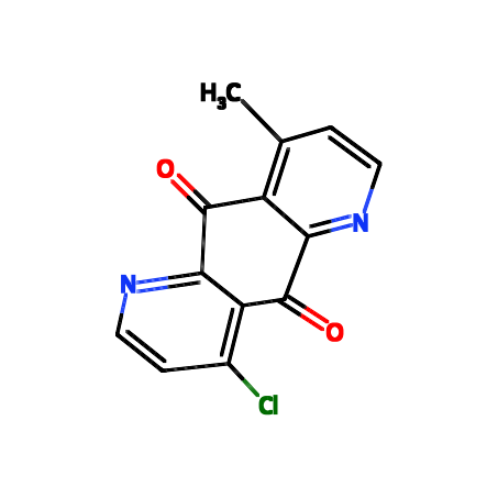 Cc1ccnc2c1C(=O)c1nccc(Cl)c1C2=O